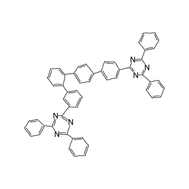 c1ccc(-c2nc(-c3ccccc3)nc(-c3ccc(-c4ccc(-c5ccccc5-c5cccc(-c6nc(-c7ccccc7)nc(-c7ccccc7)n6)c5)cc4)cc3)n2)cc1